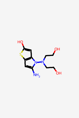 Nc1cc2sc(O)cc2n1N(CCO)CCO